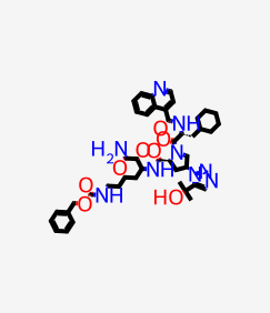 CC(C)(O)c1cnnn1[C@H]1C[C@@H](C(=O)NC(CCCCNC(=O)OCc2ccccc2)C(=O)C(N)=O)N(C(=O)[C@@H](CC2CCCCC2)NC(=O)c2ccnc3ccccc23)C1